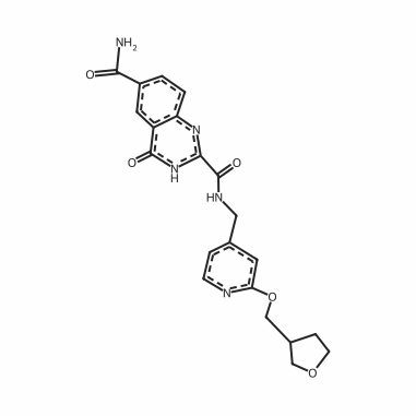 NC(=O)c1ccc2nc(C(=O)NCc3ccnc(OCC4CCOC4)c3)[nH]c(=O)c2c1